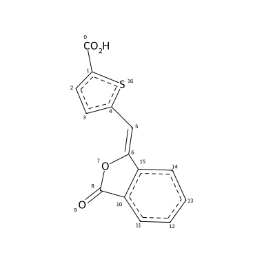 O=C(O)c1ccc(C=C2OC(=O)c3ccccc32)s1